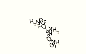 C=CC(=O)Nc1cccc(-n2cc(-c3cc(F)c(C(N)=O)c(F)c3)c(N)n2)c1